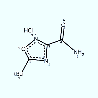 CC(C)(C)c1nc(C(N)=O)no1.Cl